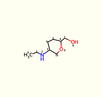 CCNC1CCC(CO)OC1